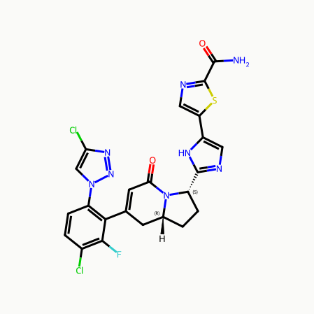 NC(=O)c1ncc(-c2cnc([C@@H]3CC[C@@H]4CC(c5c(-n6cc(Cl)nn6)ccc(Cl)c5F)=CC(=O)N43)[nH]2)s1